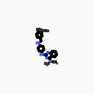 COc1cc(CN[C@H]2CC[C@@H](Nc3nc(N(C)C)c4ccccc4n3)CC2)ccc1OC(C)=O